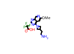 COc1cc2c(N3CC(CCN)C3)ncnc2cn1.O=C(O)C(F)(F)F